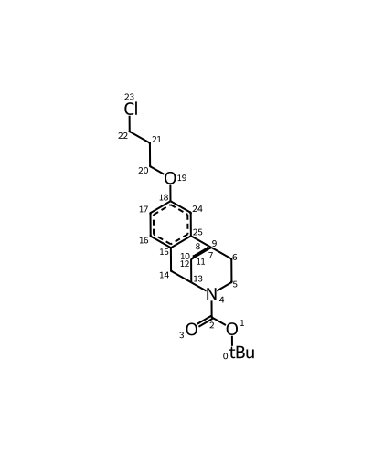 CC(C)(C)OC(=O)N1CCC23CCCCC2C1Cc1ccc(OCCCCl)cc13